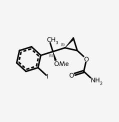 CO[C@](C)(c1ccccc1I)[C@H]1CC1OC(N)=O